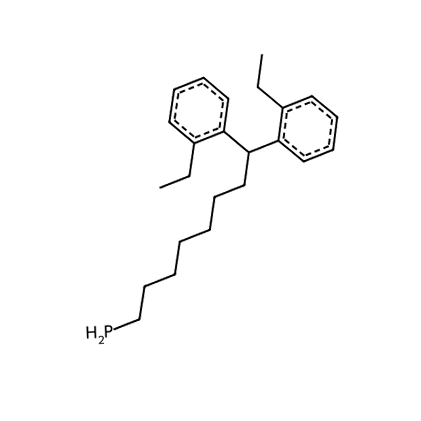 CCc1ccccc1C(CCCCCCCP)c1ccccc1CC